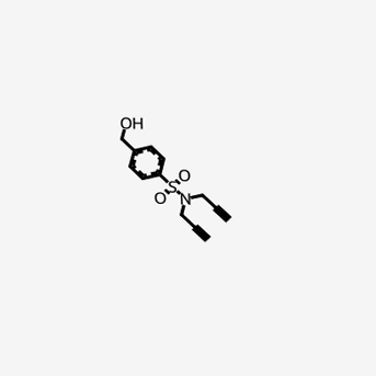 C#CCN(CC#C)S(=O)(=O)c1ccc(CO)cc1